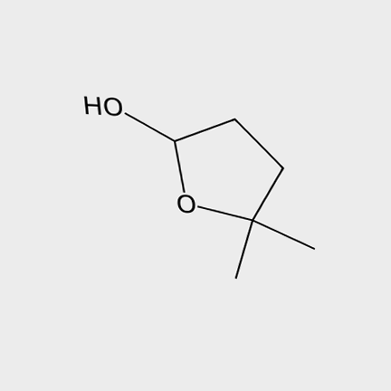 CC1(C)CCC(O)O1